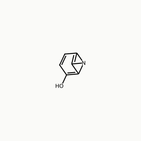 Oc1ccc2c3c1N23